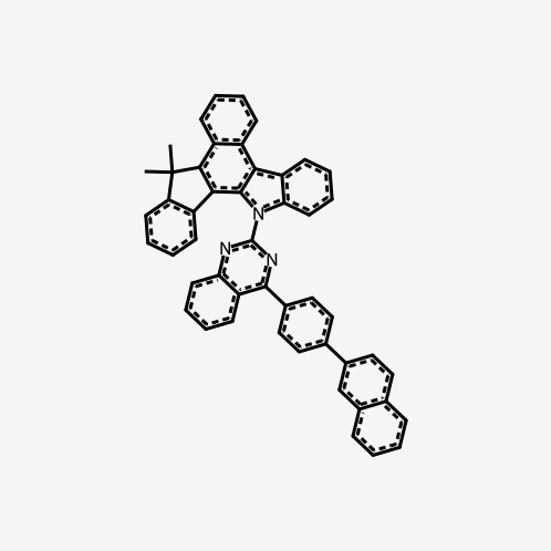 CC1(C)c2ccccc2-c2c1c1ccccc1c1c3ccccc3n(-c3nc(-c4ccc(-c5ccc6ccccc6c5)cc4)c4ccccc4n3)c21